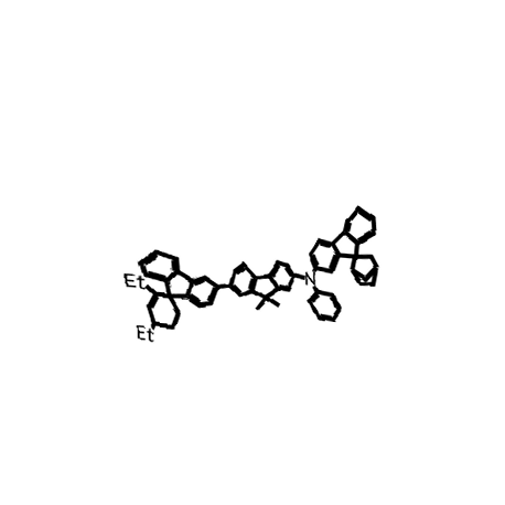 CCC1=CC(CC)CCC12c1ccccc1-c1cc(-c3ccc4c(c3)C(C)(C)c3cc(N(c5ccccc5)c5ccc6c(c5)C5(CC7CCC5C7)c5ccccc5-6)ccc3-4)ccc12